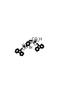 O=C(N[C@@H](Cc1ccc(OC(=O)OCC2c3ccccc3-c3ccccc32)c(Br)c1)C(=O)O)OCC1c2ccccc2-c2ccccc21